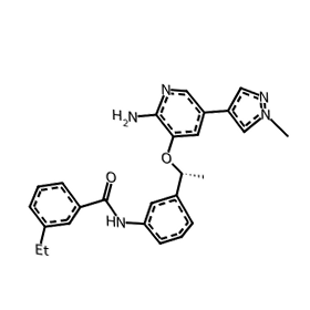 CCc1cccc(C(=O)Nc2cccc([C@@H](C)Oc3cc(-c4cnn(C)c4)cnc3N)c2)c1